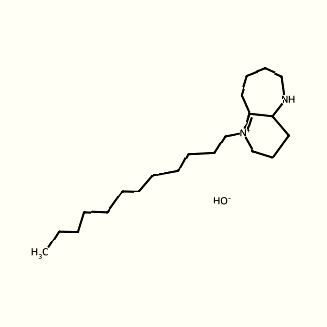 CCCCCCCCCCCC[N+]1=C2CCCCNC2CCC1.[OH-]